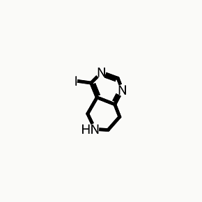 Ic1ncnc2c1CNCC2